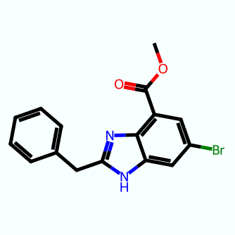 COC(=O)c1cc(Br)cc2[nH]c(Cc3ccccc3)nc12